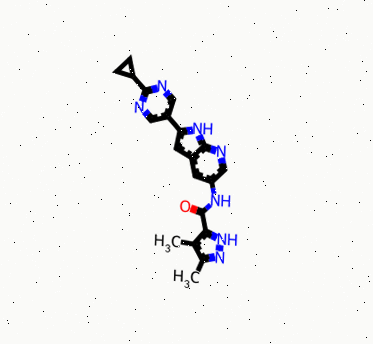 Cc1n[nH]c(C(=O)Nc2cnc3[nH]c(-c4cnc(C5CC5)nc4)cc3c2)c1C